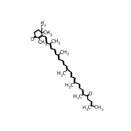 CC(C)=CCC(=O)/C(C)=C/C=C/C(C)=C/C=C/C(C)=C/C=C/C=C(C)/C=C/C=C(C)/C=C/C1=C(C)C(=O)CCC1(C)C